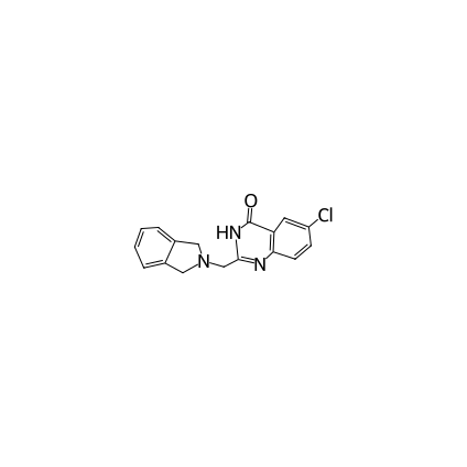 O=c1[nH]c(CN2Cc3ccccc3C2)nc2ccc(Cl)cc12